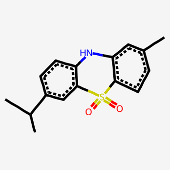 Cc1ccc2c(c1)Nc1ccc(C(C)C)cc1S2(=O)=O